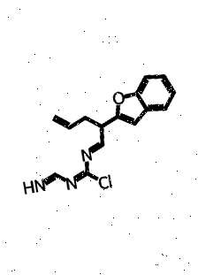 C=CCC(/C=N/C(Cl)=N\C=N)c1cc2ccccc2o1